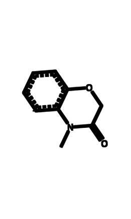 CN1C(=O)COc2ccc[c]c21